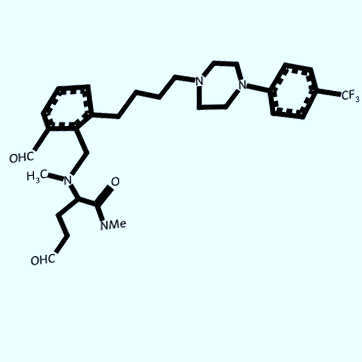 CNC(=O)C(CCC=O)N(C)Cc1c(C=O)cccc1CCCCN1CCN(c2ccc(C(F)(F)F)cc2)CC1